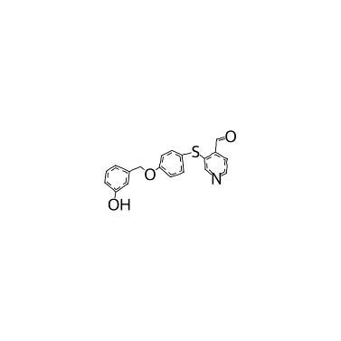 O=Cc1ccncc1Sc1ccc(OCc2cccc(O)c2)cc1